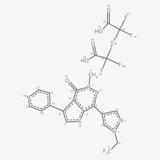 Cn1nc(-c2cnn(CC(F)(F)F)c2)c2scc(-c3ccncc3)c2c1=O.O=C(O)C(F)(F)F.O=C(O)C(F)(F)F